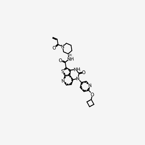 C=CC(=O)N1CCC[C@@H](NC(=O)c2sc3nccc4c3c2NC(=O)N4c2ccc(OC3CCC3)nc2)C1